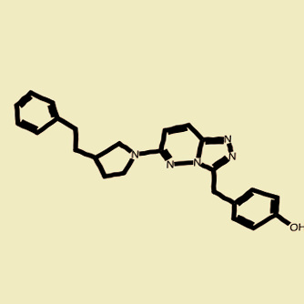 Oc1ccc(Cc2nnc3ccc(N4CCC(CCc5ccccc5)C4)nn23)cc1